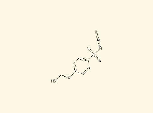 [N-]=[N+]=NS(=O)(=O)c1ccc(OCS)cc1